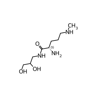 CNCCC[C@H](N)C(=O)NCC(O)CO